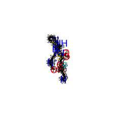 COC(=O)c1nc(N(CCCCC[N+](C)(C)CCCO)c2cc(C)c(Nc3nc4ccccc4s3)nn2)sc1CCCOc1ccc(C#CCN(C)C)cc1F